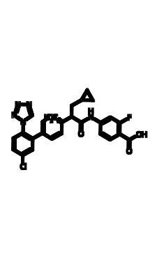 C=C(/C=C\C(=C/C)c1cc(Cl)ccc1-n1cnnn1)C(CC1CC1)C(=O)Nc1ccc(C(=O)O)c(F)c1